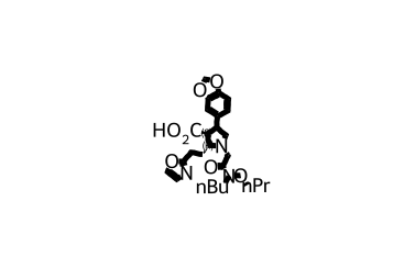 CCCCN(OCCC)C(=O)CN1CC(c2ccc3c(c2)OCO3)[C@H](C(=O)O)[C@H]1CCc1ncco1